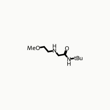 COCCNCC(=O)NC(C)(C)C